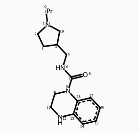 CC(C)N1CCC(CNC(=O)N2CCNc3ccccc32)C1